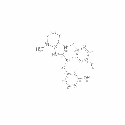 CN1COCC2=C1NC(SCc1cccc(O)c1)N2Cc1ccc(Cl)cc1